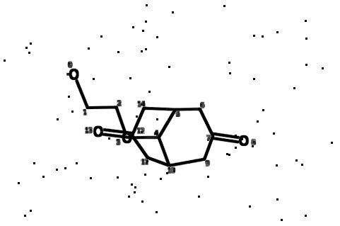 [O]CCOC1C2CC(=O)CC1CC(=O)C2